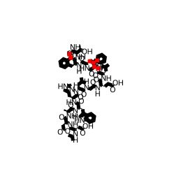 CC(C)C[C@H](NC(=O)[C@H](Cc1c[nH]cn1)NC(=O)[C@H](Cc1c[nH]c2ccccc12)NC(=O)[C@H](C)NC(=O)[C@H](CC=O)NC(=O)[C@H](CC(=O)O)NC(C)C)C(=O)NCC(=O)N[C@@H](CCC(=O)O)C(=O)N[C@@H](CC(C)C)C(=O)N[C@H](C(=O)N[C@@H](Cc1c[nH]c2ccccc12)C(=O)N[C@@H](Cc1ccccc1CN)C(=O)N[C@H](C(N)=O)[C@@H](C)O)C(C)C